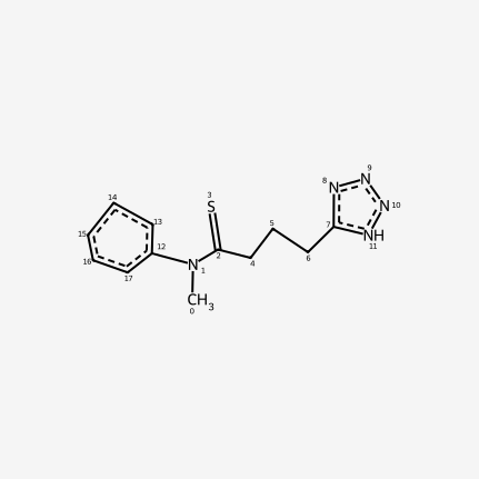 CN(C(=S)CCCc1nnn[nH]1)c1ccccc1